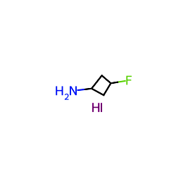 I.NC1CC(F)C1